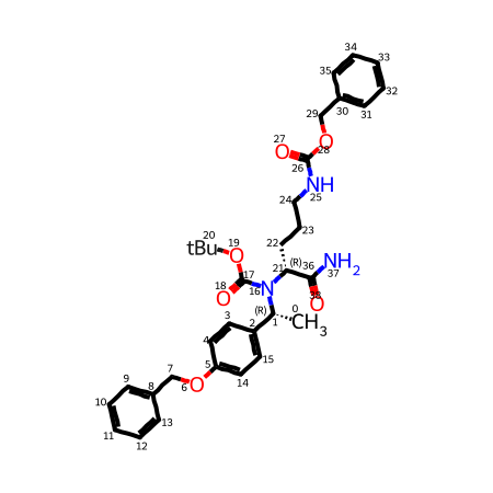 C[C@H](c1ccc(OCc2ccccc2)cc1)N(C(=O)OC(C)(C)C)[C@H](CCCNC(=O)OCc1ccccc1)C(N)=O